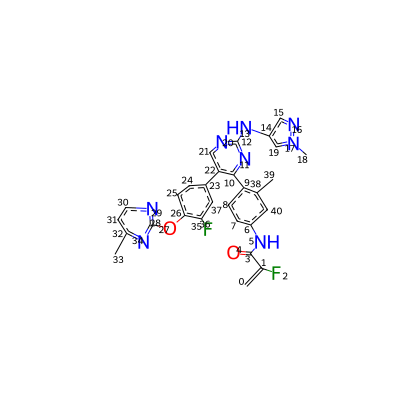 C=C(F)C(=O)Nc1ccc(-c2nc(Nc3cnn(C)c3)ncc2-c2ccc(Oc3nccc(C)n3)c(F)c2)c(C)c1